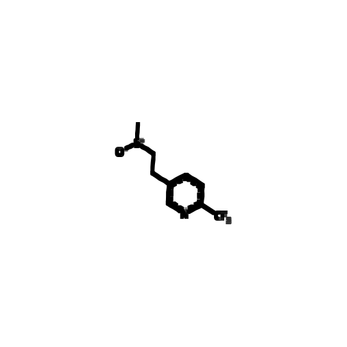 C[S+]([O-])CCc1ccc(C(F)(F)F)nc1